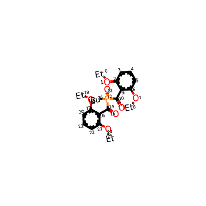 CCOc1cccc(OCC)c1C(=O)P(=O)(C(=O)c1c(OCC)cccc1OCC)C(C)CC